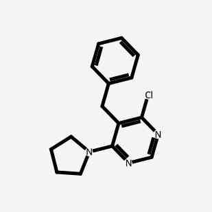 Clc1ncnc(N2CCCC2)c1Cc1ccccc1